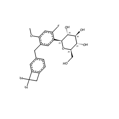 [2H]C1([2H])Cc2ccc(Cc3cc([C@@H]4O[C@H](CO)[C@@H](O)[C@H](O)[C@H]4O)c(F)cc3OC)cc21